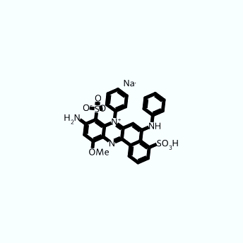 COc1cc(N)c(S(=O)(=O)[O-])c2c1nc1c3cccc(S(=O)(=O)O)c3c(Nc3ccccc3)cc1[n+]2-c1ccccc1.[Na]